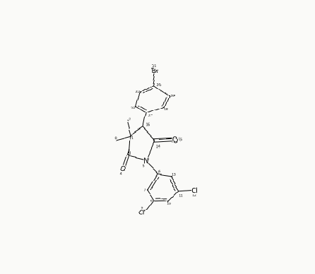 CC1(C)C(=O)N(c2cc(Cl)cc(Cl)c2)C(=O)C1c1ccc(Br)cc1